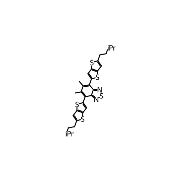 Cc1c(C)c(-c2cc3sc(CCC(C)C)cc3s2)c2nsnc2c1-c1cc2sc(CCC(C)C)cc2s1